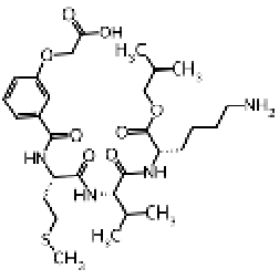 CSCC[C@H](NC(=O)c1cccc(OCC(=O)O)c1)C(=O)N[C@H](C(=O)N[C@@H](CCCCN)C(=O)OCC(C)C)C(C)C